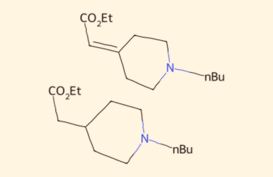 CCCCN1CCC(=CC(=O)OCC)CC1.CCCCN1CCC(CC(=O)OCC)CC1